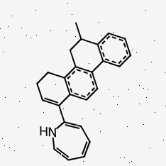 CC1Cc2c(ccc3c2CCC=C3C2=CC=CC=CN2)-c2ccccc21